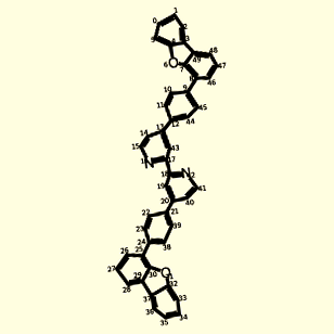 c1ccc2c(c1)oc1c(-c3ccc(-c4ccnc(-c5cc(-c6ccc(-c7cccc8c7oc7ccccc78)cc6)ccn5)c4)cc3)cccc12